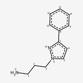 NCCCn1[c]cc(-c2ccccc2)n1